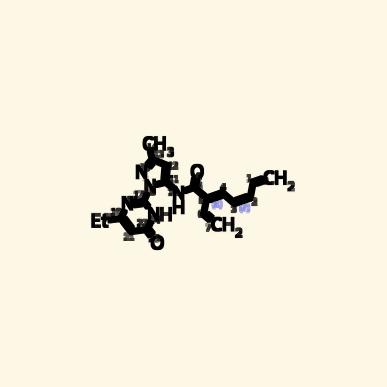 C=C/C=C\C=C(/C=C)C(=O)Nc1cc(C)nn1-c1nc(CC)cc(=O)[nH]1